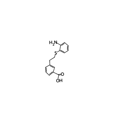 Nc1ccccc1SCCc1cccc(C(=O)O)c1